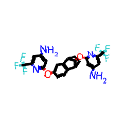 Nc1cc(Oc2ccc3c(c2)C2CCC3C2Oc2cc(N)cc(C(F)(F)F)n2)nc(C(F)(F)F)c1